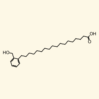 O=C(O)CCCCCCCCCCCCCCCCCc1ccccc1CO